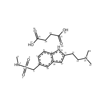 CNS(=O)(=O)Cc1ccc2[nH]c(CCN(C)C)cc2c1.O=C(O)CCC(=O)O